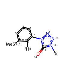 [3H]c1c(SC)cccc1-n1nnn(C)c1=O